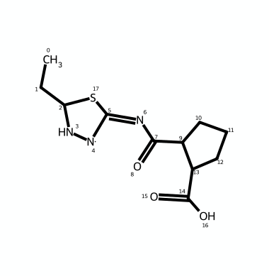 CCC1N[N]C(=NC(=O)C2CCCC2C(=O)O)S1